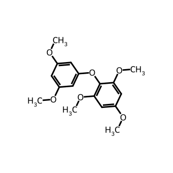 COc1cc(OC)cc(Oc2c(OC)cc(OC)cc2OC)c1